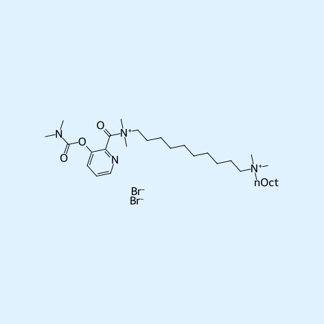 CCCCCCCC[N+](C)(C)CCCCCCCCCC[N+](C)(C)C(=O)c1ncccc1OC(=O)N(C)C.[Br-].[Br-]